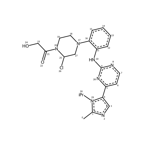 Cc1ncc(-c2ccnc(Nc3ccccc3N3CCN(C(=O)CO)C(Cl)C3)n2)n1C(C)C